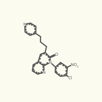 O=c1c(CCCc2ccncc2)cc2cccnc2n1-c1ccc(Cl)c([N+](=O)[O-])c1